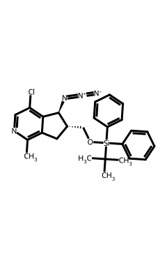 Cc1ncc(Cl)c2c1C[C@@H](CO[Si](c1ccccc1)(c1ccccc1)C(C)(C)C)[C@@H]2N=[N+]=[N-]